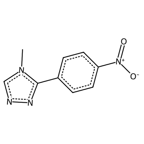 Cn1cnnc1-c1ccc([N+](=O)[O-])cc1